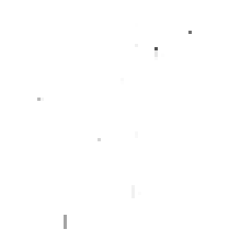 CCSc1ccc(-n2ccc(C(F)(F)F)n2)nc1-c1nc2cc(SC(F)(F)F)ncc2n1C